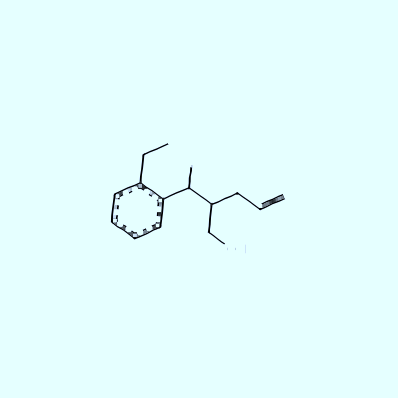 C=CCC(CO)C(O)c1ccccc1CC